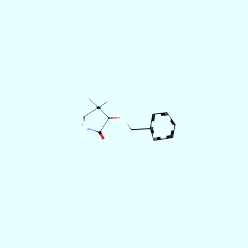 CC1(C)CNC(=O)C1OCc1ccccc1